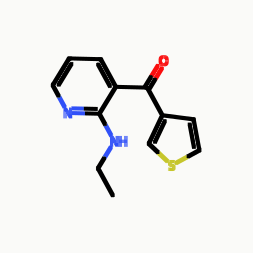 CCNc1ncccc1C(=O)c1ccsc1